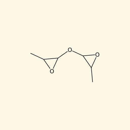 CC1OC1OC1OC1C